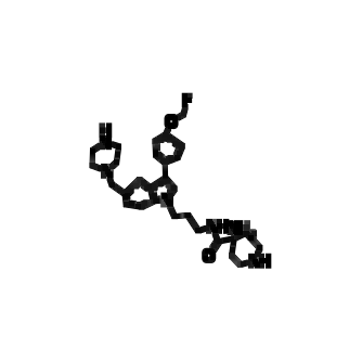 NC1(C(=O)NCCCn2cc(-c3ccc(OCF)cc3)c3cc(CN4CCNCC4)ccc32)CCNCC1